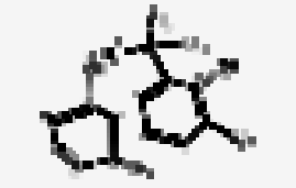 Cc1cccc(C(C)(C)C)c1O.Cc1cccc(O)c1